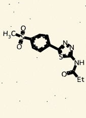 CCC(=O)Nc1nnc(-c2ccc(S(C)(=O)=O)cc2)s1